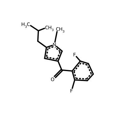 CC(C)Cc1cc(C(=O)c2c(F)cccc2F)cn1C